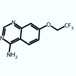 Nc1ncnc2cc(OCC(F)(F)F)ccc12